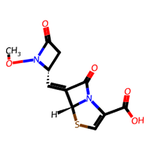 CON1C(=O)C[C@@H]1C=C1C(=O)N2C(C(=O)O)=CS[C@H]12